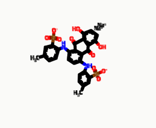 Cc1ccc(Nc2ccc(Nc3ccc(C)cc3S(=O)(=O)[O-])c3c2C(=O)c2c(O)ccc(O)c2C3=O)c(S(=O)(=O)[O-])c1.[Na+].[Na+]